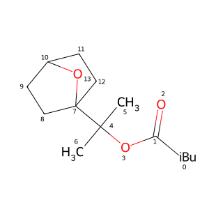 CCC(C)C(=O)OC(C)(C)C12CCC(CC1)O2